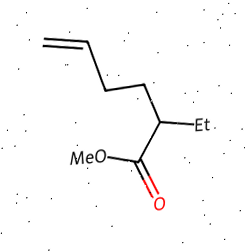 C=CCCC(CC)C(=O)OC